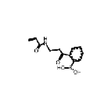 C=CC(=O)NCCC(=O)c1ccccc1B(O)O